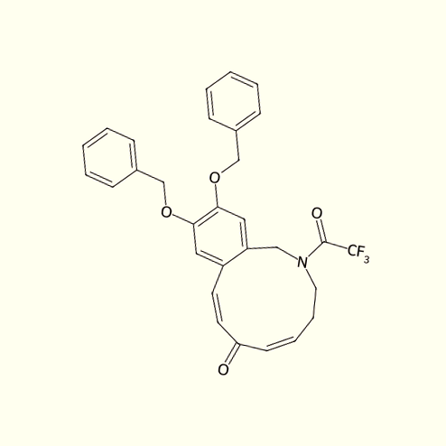 O=C1/C=C\CCN(C(=O)C(F)(F)F)Cc2cc(OCc3ccccc3)c(OCc3ccccc3)cc2/C=C\1